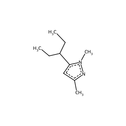 CCC(CC)c1cc(C)nn1C